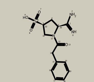 N=C(N)[C@@H]1C[C@H](S(=O)(=O)O)CN1C(=O)Cc1ccccc1